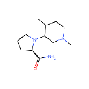 CC1CCN(C)CC1N1CCC[C@@H]1C(N)=O